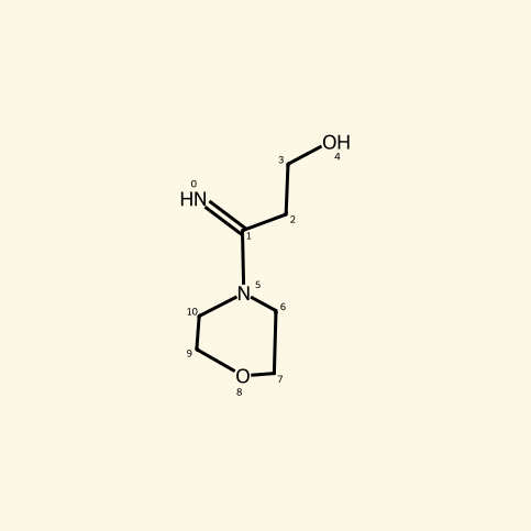 N=C(CCO)N1CCOCC1